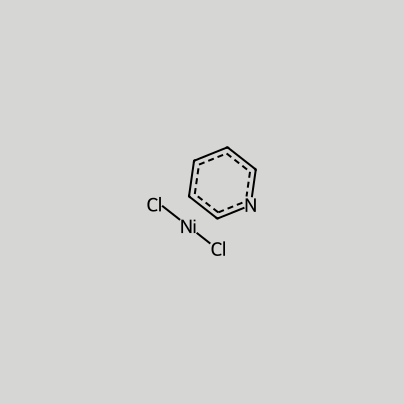 [Cl][Ni][Cl].c1ccncc1